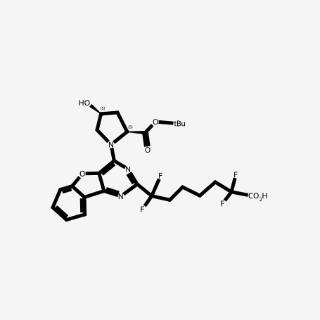 CC(C)(C)OC(=O)[C@@H]1C[C@H](O)CN1c1nc(C(F)(F)CCCCC(F)(F)C(=O)O)nc2c1oc1ccccc12